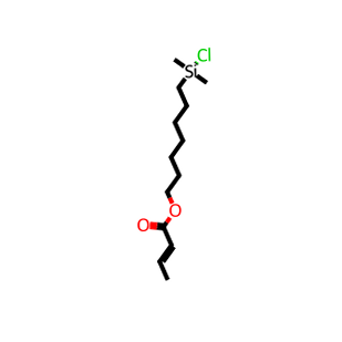 CC=CC(=O)OCCCCCCC[Si](C)(C)Cl